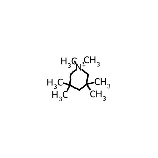 CC1(C)CC(C)(C)C[N+](C)(C)C1